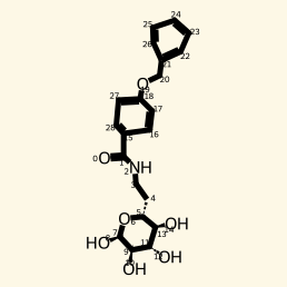 O=C(NCC[C@H]1O[C@H](O)[C@H](O)[C@@H](O)[C@@H]1O)c1ccc(OCc2ccccc2)cc1